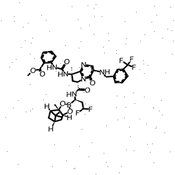 COC(=O)c1ccccc1NC(=O)N[C@]1(C)C[C@@H](C(=O)N[C@@H](CC(F)F)B2O[C@@H]3C[C@@H]4C[C@@H](C4(C)C)[C@]3(C)O2)n2c1ncc(NCc1cccc(C(F)(F)F)c1)c2=O